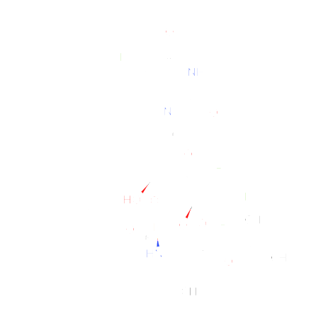 CC(C)OC(=O)[C@H](C)N[P@](=O)(Oc1cccc2ccccc12)O[C@@H]([C@H]1O[C@@H](n2cc(F)c(=O)[nH]c2=O)C[C@@H]1O)C(F)(F)F